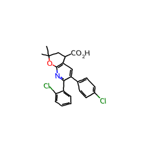 CC1(C)CC(C(=O)O)c2cc(-c3ccc(Cl)cc3)c(-c3ccccc3Cl)nc2O1